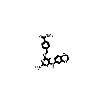 CNC(=O)c1ccc(COc2nc(N)nc(Nc3ccc4c(c3)OCCO4)c2F)cc1